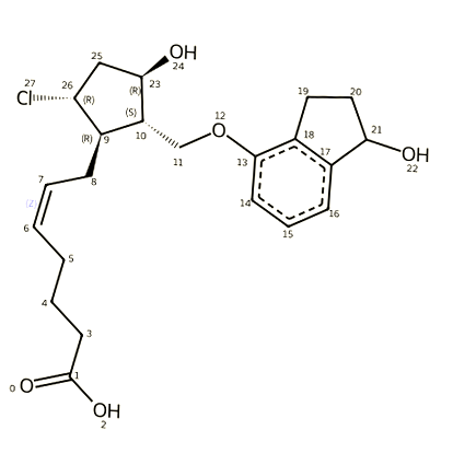 O=C(O)CCC/C=C\C[C@@H]1[C@@H](COc2cccc3c2CCC3O)[C@H](O)C[C@H]1Cl